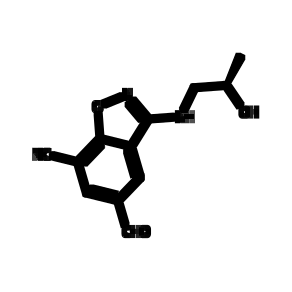 C[C@@H](O)CNc1noc2c(C#N)cc(C=O)cc12